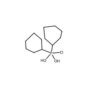 OP(O)(Cl)(C1CCCCC1)C1CCCCC1